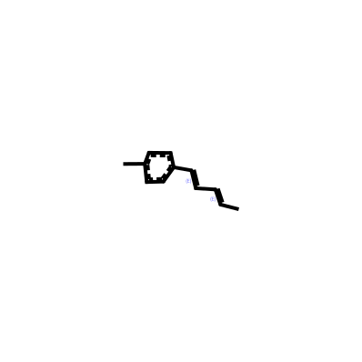 C/C=C/C=C/c1ccc(C)cc1